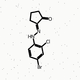 O=C1CCCC1=NNc1ccc(Br)cc1Cl